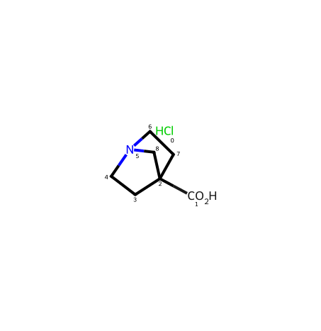 Cl.O=C(O)C12CCN(CC1)C2